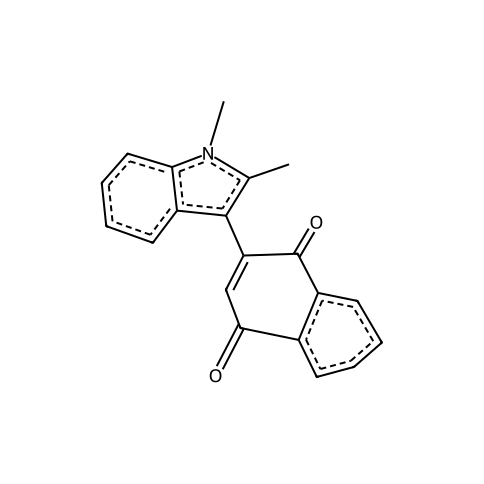 Cc1c(C2=CC(=O)c3ccccc3C2=O)c2ccccc2n1C